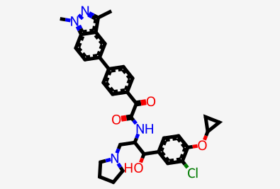 Cc1nn(C)c2ccc(-c3ccc(C(=O)C(=O)NC(CN4CCCC4)C(O)c4ccc(OC5CC5)c(Cl)c4)cc3)cc12